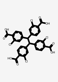 O=C(O)c1ccc(C(c2ccc(C(=O)O)c(Cl)c2)C(c2ccc(C(=O)O)c(Cl)c2)c2ccc(C(=O)O)c(Cl)c2)cc1Cl